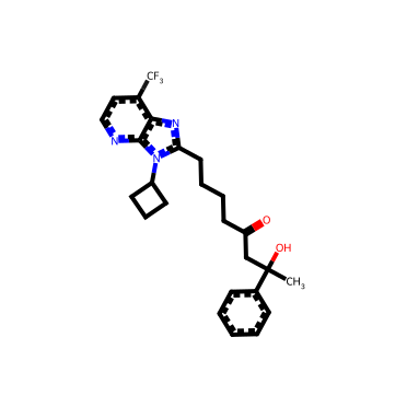 CC(O)(CC(=O)CCCCc1nc2c(C(F)(F)F)ccnc2n1C1CCC1)c1ccccc1